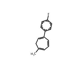 CC1=CC=CC(c2ccc(F)cc2)=CC1